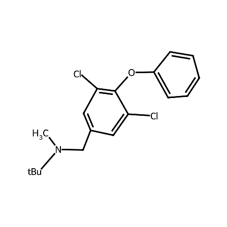 CN(Cc1cc(Cl)c(Oc2ccccc2)c(Cl)c1)C(C)(C)C